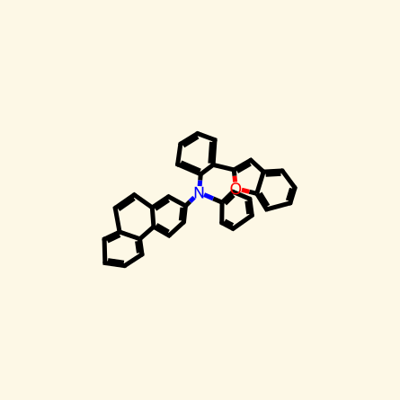 c1ccc(N(c2ccc3c(ccc4ccccc43)c2)c2ccccc2-c2cc3ccccc3o2)cc1